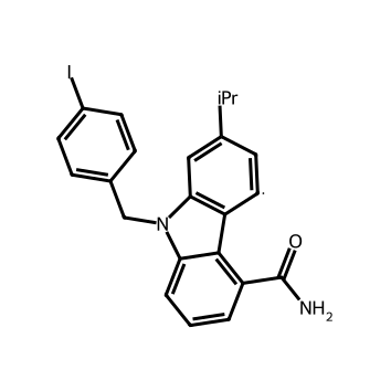 CC(C)c1c[c]c2c3c(C(N)=O)cccc3n(Cc3ccc(I)cc3)c2c1